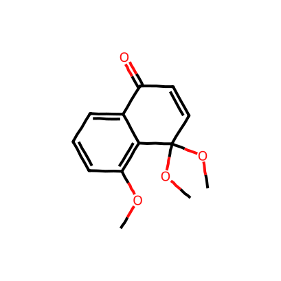 COc1cccc2c1C(OC)(OC)C=CC2=O